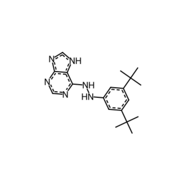 CC(C)(C)c1cc(NNc2ncnc3nc[nH]c23)cc(C(C)(C)C)c1